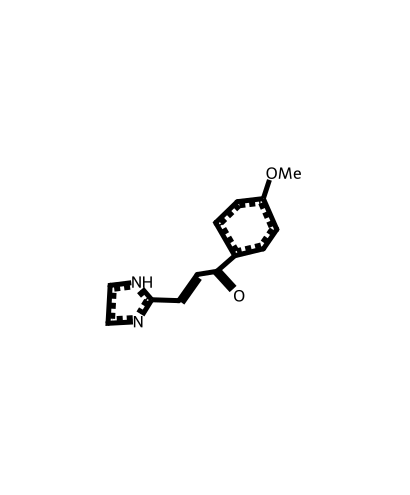 COc1ccc(C(=O)C=Cc2ncc[nH]2)cc1